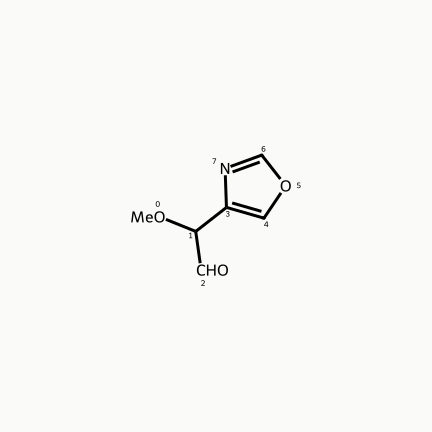 COC(C=O)c1cocn1